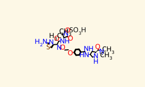 CN(C)C(=O)[C@@H]1C[C@H](NC(=N)c2ccc(OCCO/N=C(\C(=O)N[C@@H]3C(=O)N(OS(=O)(=O)O)C3(C)C)c3csc(N)n3)cc2)CN1